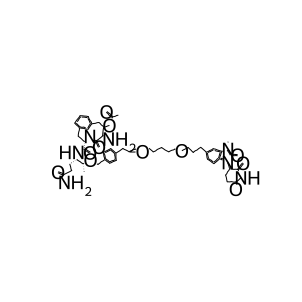 CC(=O)OC1Cc2cccc3c2N(C(=O)[C@H]1N)[C@H](C(=O)N[C@@H](CCC(N)=O)[C@@H](C)OCc1ccc(CCCOCCCCCOCCCc2ccc4c(c2)n(C)c(=O)n4C2CCC(=O)NC2=O)cc1)C3